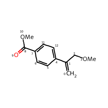 C=C(COC)c1ccc(C(=O)OC)cc1